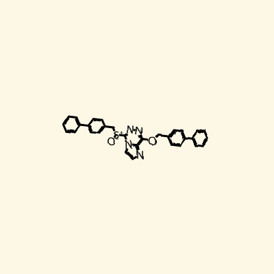 [O-][S+](Cc1ccc(-c2ccccc2)cc1)c1nnc(OCc2ccc(-c3ccccc3)cc2)c2nccn12